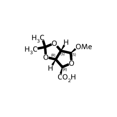 CO[C@H]1O[C@@H](C(=O)O)[C@@H]2OC(C)(C)O[C@H]12